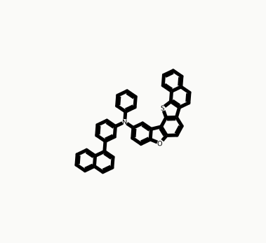 c1ccc(N(c2cccc(-c3cccc4ccccc34)c2)c2ccc3oc4ccc5c6ccc7ccccc7c6sc5c4c3c2)cc1